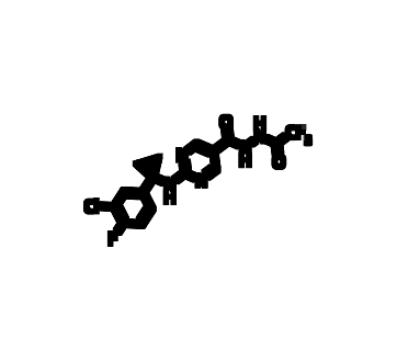 O=C(NNC(=O)C(F)(F)F)c1cnc(NC2(c3ccc(F)c(Cl)c3)CC2)nc1